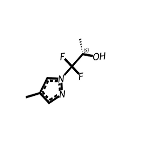 Cc1cnn(C(F)(F)[C@H](C)O)c1